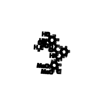 COc1cc(C(Cc2ccccc2)NC[C@@H](O)Cc2ccc(O)c(NS(C)(=O)=O)c2)cc(Cl)c1OC